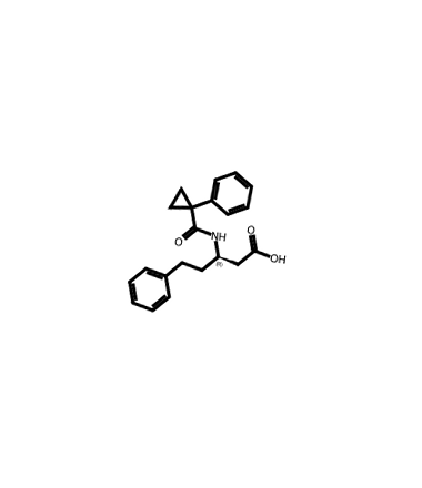 O=C(O)C[C@@H](CCc1ccccc1)NC(=O)C1(c2ccccc2)CC1